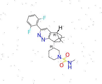 CNS(=O)(=O)N1CCC[C@H](C23CC[C@@H](c4cc(-c5c(F)cccc5F)nnc42)C3(C)C)C1